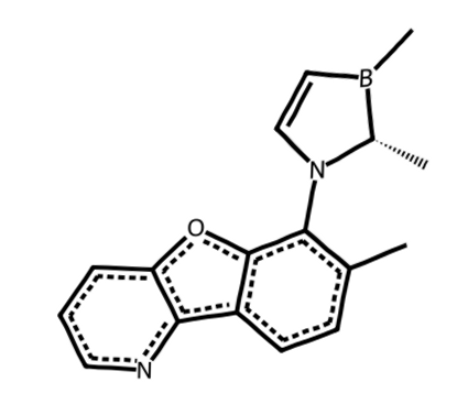 CB1C=CN(c2c(C)ccc3c2oc2cccnc23)[C@H]1C